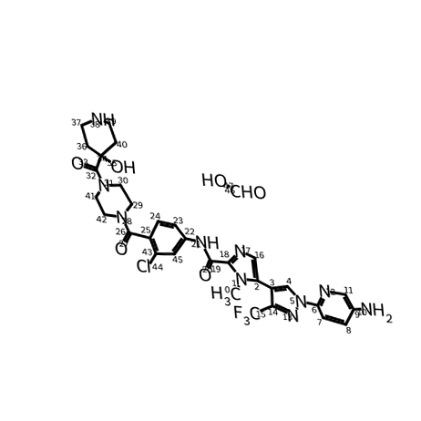 Cn1c(-c2cn(-c3ccc(N)cn3)nc2C(F)(F)F)cnc1C(=O)Nc1ccc(C(=O)N2CCN(C(=O)C3(O)CCNCC3)CC2)c(Cl)c1.O=CO